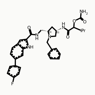 CC(C)C(OC(N)=O)C(=O)N[C@H]1C[C@@H](CNC(=O)c2cc3ccc(-c4ccc(F)cc4)cc3[nH]2)N(Cc2ccccc2)C1